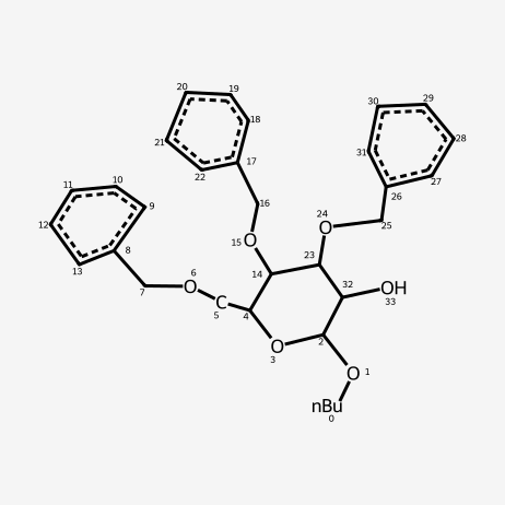 CCCCOC1OC(COCc2ccccc2)C(OCc2ccccc2)C(OCc2ccccc2)C1O